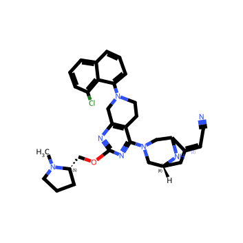 CN1CCC[C@H]1COc1nc2c(c(N3CC4N[C@H](C/C4=C/C#N)C3)n1)CCN(c1cccc3cccc(Cl)c13)C2